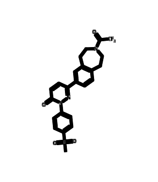 CS(=O)(=O)c1ccc(-n2nc(-c3ccc4c(c3)CCN(C(=O)C(F)(F)F)CC4)ccc2=O)cc1